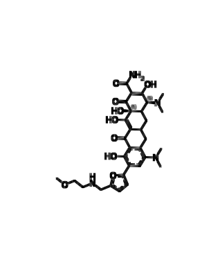 COCCNCc1ccc(-c2cc(N(C)C)c3c(c2O)C(=O)C2=C(O)[C@]4(O)C(=O)C(C(N)=O)=C(O)[C@@H](N(C)C)C4CC2C3)o1